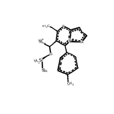 Cc1ccc(-c2c(C(C#N)O[SiH2]C(C)(C)C)c(C)nc3ccnn23)cc1